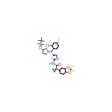 CC(C)(C)[Si](C)(C)OC1CCN([C@@H](c2cnc(NC(=O)C3(c4ccc5c(c4)OC(F)(F)O5)CC3)s2)c2ccc(F)cc2Cl)C1